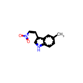 Cc1ccc2[nH]cc(/C=C\[N+](=O)[O-])c2c1